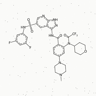 CN1CCN(c2ccc(C(=O)Nc3n[nH]c4ncc(S(=O)(=O)Nc5cc(F)cc(F)c5)cc34)c(N(C(=O)C(F)(F)F)C3CCOCC3)c2)CC1